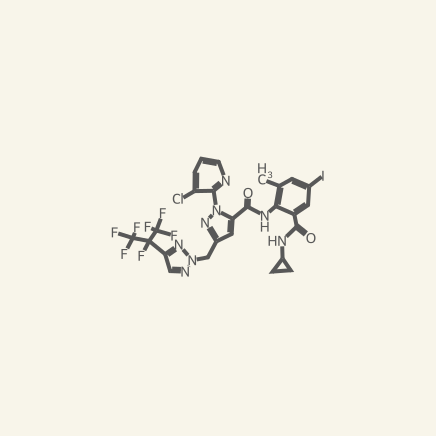 Cc1cc(I)cc(C(=O)NC2CC2)c1NC(=O)c1cc(Cn2ncc(C(F)(C(F)(F)F)C(F)(F)F)n2)nn1-c1ncccc1Cl